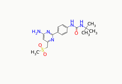 CC(C)(C)NC(=O)Nc1ccc(-c2nc(N)cc(CS(C)(=O)=O)n2)cc1